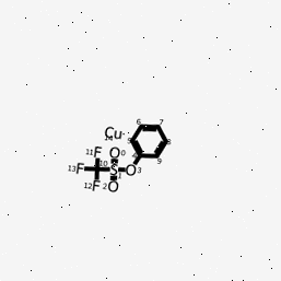 O=S(=O)(Oc1ccccc1)C(F)(F)F.[Cu]